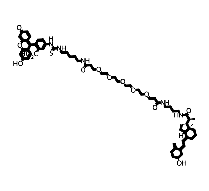 C=C1CC[C@H](O)C/C1=C/C=C1\CCC[C@]2(C)[C@@H]([C@H](C)C(=O)NCCCCNC(=O)CCOCCOCCOCCOCCOCCC(=O)NCCCCCNC(=S)Nc3ccc(-c4c5ccc(=O)cc-5oc5cc(O)ccc45)c(C(=O)O)c3)CC[C@@H]12